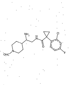 NC(CNC(=O)C1(c2ccc(F)cc2Cl)CC1)C1CCN(C=O)CC1